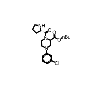 CCCCOC(=O)C1CN(c2cccc(Cl)c2)CCN1C(=O)[C@@H]1CCCN1